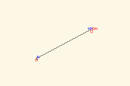 O=C=NCCCCCCCCCCCCCCCCCCCCCCCCCCCCCCCCCCCCCCC(=O)NO